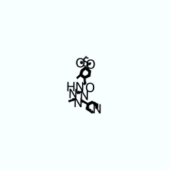 Cc1nc(NC(=O)c2ccc(S(C)(=O)=O)cc2C)nc(-c2ccncc2)n1